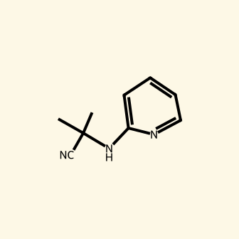 CC(C)(C#N)Nc1ccccn1